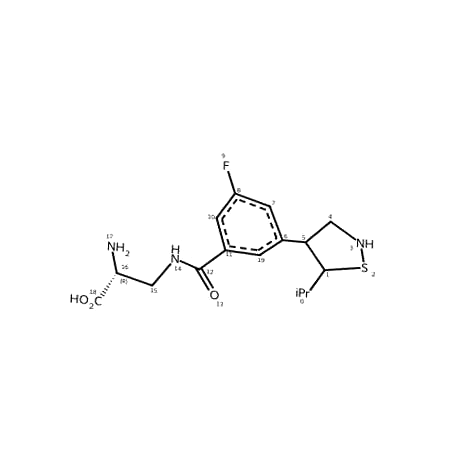 CC(C)C1SNCC1c1cc(F)cc(C(=O)NC[C@@H](N)C(=O)O)c1